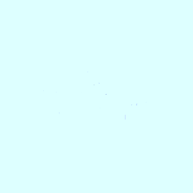 C=C1/C(=C\C(I)=C/C)C(C)(C)c2cc(C)ccc21